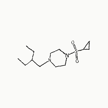 CCC(CC)CN1CCN(S(=O)(=O)C2CC2)CC1